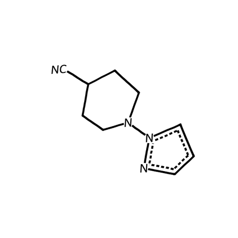 N#CC1CCN(n2cccn2)CC1